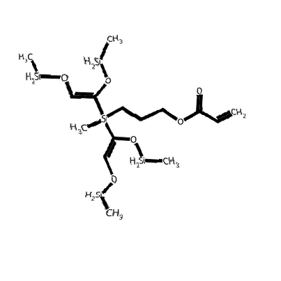 C=CC(=O)OCCC[Si](C)(C(=CO[SiH2]C)O[SiH2]C)C(=CO[SiH2]C)O[SiH2]C